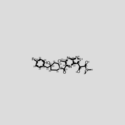 CN(C)C(=O)C(=O)c1snc2nc(Cl)c(C(=O)N3CCC(O)(Cc4ccc(F)cc4)CC3)nc12